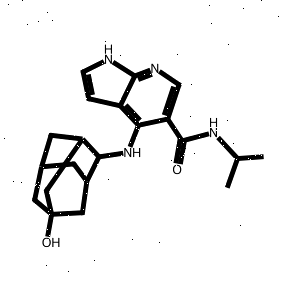 CC(C)NC(=O)c1cnc2[nH]ccc2c1NC1C2CC3CC1CC(O)(C3)C2